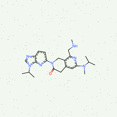 CNCc1nc(N(C)C(C)C)cc2c1CN(c1ccc3ncn(C(C)C)c3n1)C(=O)C2